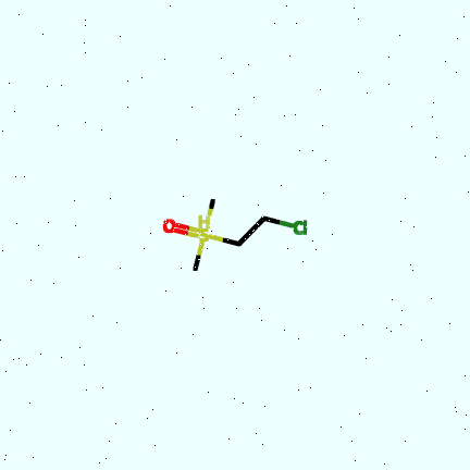 C[SH](C)(=O)CCCl